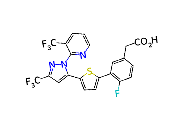 O=C(O)Cc1ccc(F)c(-c2ccc(-c3cc(C(F)(F)F)nn3-c3ncccc3C(F)(F)F)s2)c1